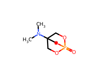 CN(C)C12COP(=O)(OC1)OC2